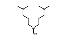 CC[CH2][Ga]([CH2]CCN(C)C)[CH2]CCN(C)C